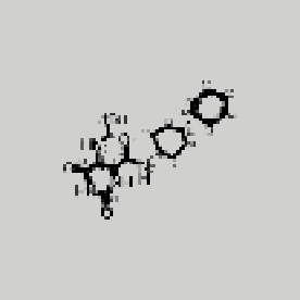 CC(C)(C)CNc1c(C(=O)N[C@H]2CC[C@@H](c3ccccc3)CC2)[nH]c(=O)[nH]c1=O